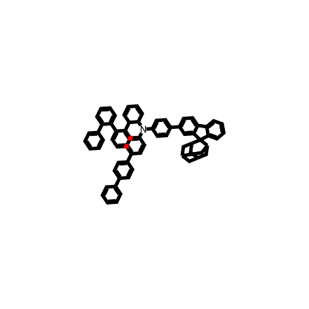 C1=CC(c2ccccc2-c2ccccc2-c2ccccc2)C(N(c2ccc(-c3ccc(-c4ccccc4)cc3)cc2)c2ccc(-c3ccc4c(c3)C3(c5ccccc5-4)C4CC5CC(C4)CC3C5)cc2)C=C1